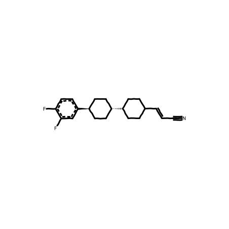 N#C/C=C/C1CCC([C@H]2CC[C@H](c3ccc(F)c(F)c3)CC2)CC1